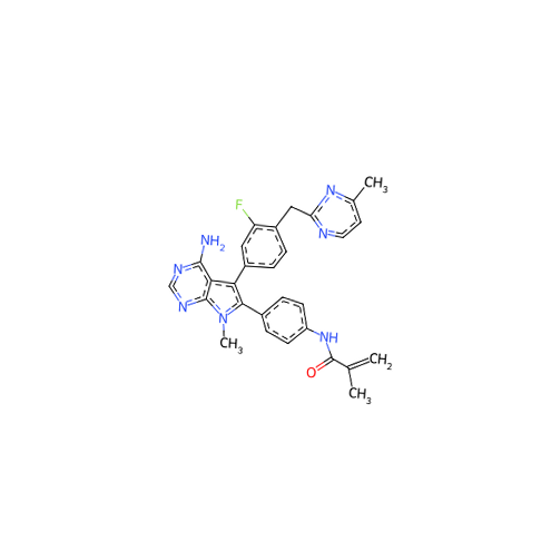 C=C(C)C(=O)Nc1ccc(-c2c(-c3ccc(Cc4nccc(C)n4)c(F)c3)c3c(N)ncnc3n2C)cc1